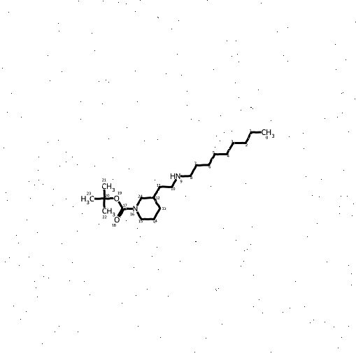 CCCCCCCCCNCCC1CCCN(C(=O)OC(C)(C)C)C1